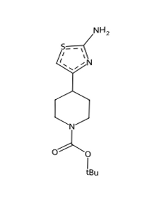 CC(C)(C)OC(=O)N1CCC(c2csc(N)n2)CC1